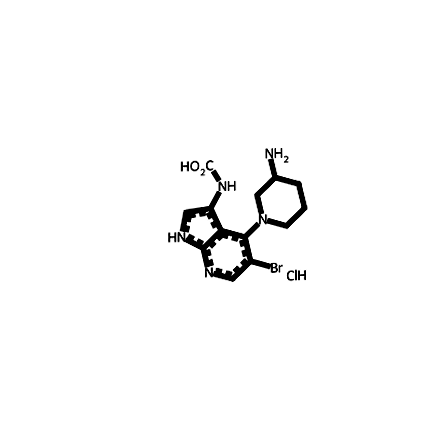 Cl.NC1CCCN(c2c(Br)cnc3[nH]cc(NC(=O)O)c23)C1